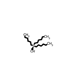 C#C[Si](CCCCCC)(CCCCCC)CCCCCC